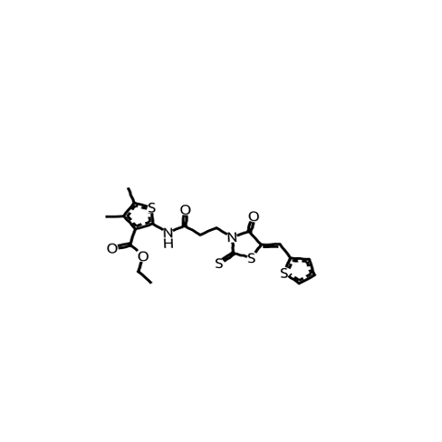 CCOC(=O)c1c(NC(=O)CCN2C(=O)/C(=C/c3cccs3)SC2=S)sc(C)c1C